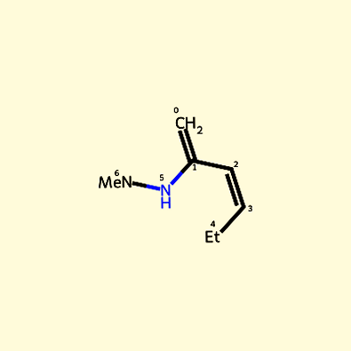 C=C(/C=C\CC)NNC